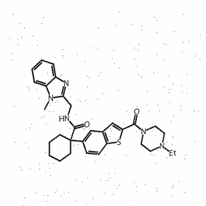 CCN1CCN(C(=O)c2cc3cc(C4(C(=O)NCc5nc6ccccc6n5C)CCCCC4)ccc3s2)CC1